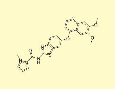 COc1cc2nccc(Oc3ccc4nc(NC(=O)c5cccn5C)sc4c3)c2cc1OC